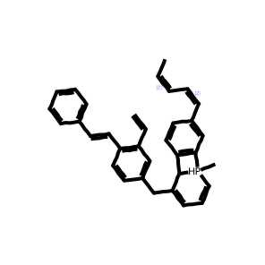 C=Cc1cc(CC2=CC=C[PH]3(C)c4cc(/C=C\C=C/C)ccc4C23)ccc1C=Cc1ccccc1